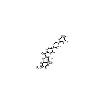 Cc1cc(C2CCN(C3CCC(C(=O)N4Cc5cc(C(F)(F)F)ccc5[C@](C)(O)C4)OC3)CC2)ccc1F